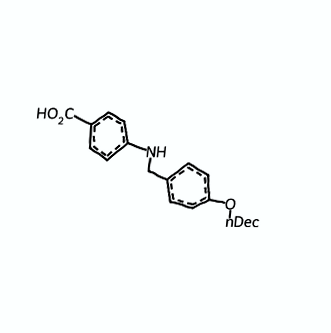 CCCCCCCCCCOc1ccc(CNc2ccc(C(=O)O)cc2)cc1